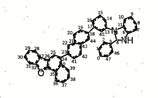 c1ccc(C2Nc3ccccc3N2c2cccc(-c3ccc4cc(-c5cc6c7ccccc7oc6c6ccccc56)ccc4c3)c2)cc1